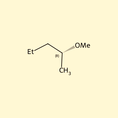 CCC[C@@H](C)OC